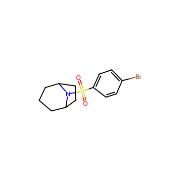 O=S(=O)(c1ccc(Br)cc1)N1C2CCCC1CC2